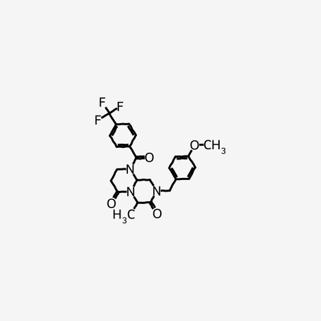 COc1ccc(CN2CC3N(C(=O)c4ccc(C(F)(F)F)cc4)CCC(=O)N3C(C)C2=O)cc1